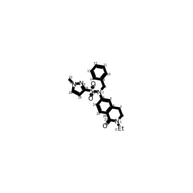 CCN1CCc2cc(N(Cc3ccccc3)S(=O)(=O)c3ccn(C)n3)ccc2C1=O